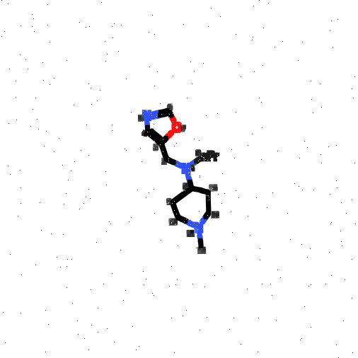 CCCN(Cc1cnco1)C1CCN(C)CC1